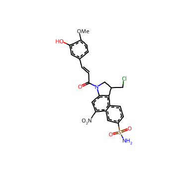 COc1ccc(C=CC(=O)N2CC(CCl)c3c2cc([N+](=O)[O-])c2cc(S(N)(=O)=O)ccc32)cc1O